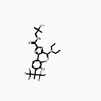 CCN(CC)C(=O)c1nc(C(=O)NCC(C)(C)O)sc1-c1ccc(C(C)(C(F)(F)F)C(F)(F)F)c(Cl)c1Cl